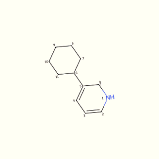 [C]1NC=CC=C1C1CCCCC1